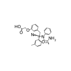 Cc1cccc([C@](C#N)(Cc2cccc(OCC(=O)O)c2)N(C(=O)[C@H](C)N)c2ccccc2)c1